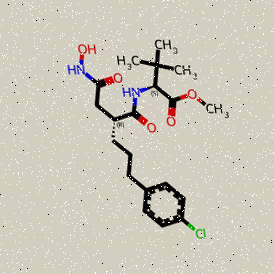 COC(=O)[C@@H](NC(=O)[C@H](CCCc1ccc(Cl)cc1)CC(=O)NO)C(C)(C)C